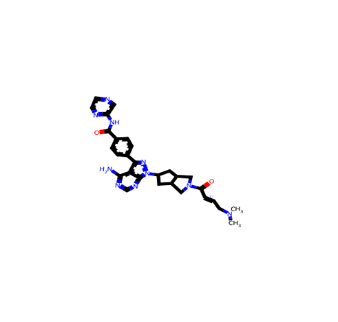 CN(C)C/C=C/C(=O)N1CC2CC(n3nc(-c4ccc(C(=O)Nc5cnccn5)cc4)c4c(N)ncnc43)CC2C1